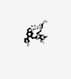 CC(C)CNCCn1c(Cc2cc3c(cc2-c2cc[nH]c2)CCN3)nc2c(N)nc(F)nc21